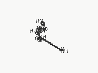 C[C@H](NC(=O)CC[C@H](NC(=O)CCCCCCCCCCCCCCCCC(=O)O)C(=O)O)C(=O)CN[C@@H](Cc1ccc(O)cc1)C(N)=O